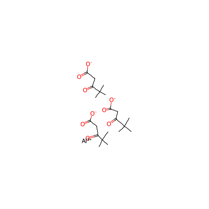 CC(C)(C)C(=O)CC(=O)[O-].CC(C)(C)C(=O)CC(=O)[O-].CC(C)(C)C(=O)CC(=O)[O-].[Al+3]